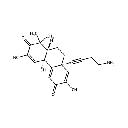 CC1(C)C(=O)C(C#N)=C[C@]2(C)C3=CC(=O)C(C#N)=C[C@]3(C#CCCN)CC[C@@H]12